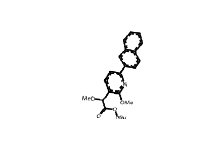 CCCCOC(=O)C(OC)c1ccc(-c2ccc3ccccc3c2)nc1OC